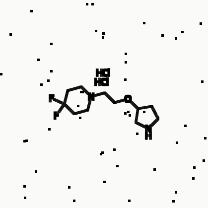 Cl.Cl.FC1(F)CCN(CCOC2CCNC2)CC1